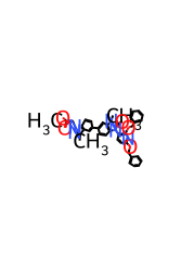 COC(=O)Cn1nc(C)c2cc(-c3ccc4c(c3)n(C)c(=O)n4-c3ccc(OCc4ccccc4)nc3OCc3ccccc3)ccc21